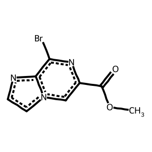 COC(=O)c1cn2ccnc2c(Br)n1